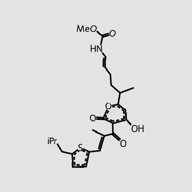 COC(=O)N/C=C/CCC(C)c1cc(O)c(C(=O)/C(C)=C/c2ccc(CC(C)C)s2)c(=O)o1